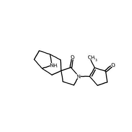 CC1=C(N2CCC3(CC4CCC(C3)N4)C2=O)CCC1=O